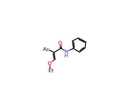 CCOC=C(C(C)=O)C(=O)Nc1ccccc1